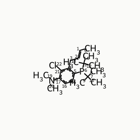 CC=CCc1c(P(C(C)(C)C)C(C)(C)C)ccc(N(C)C)c1Cl